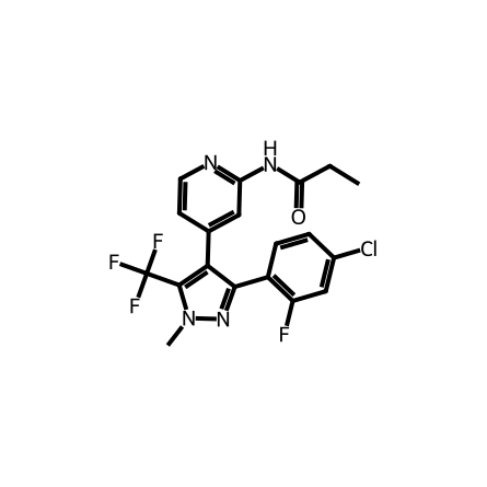 CCC(=O)Nc1cc(-c2c(-c3ccc(Cl)cc3F)nn(C)c2C(F)(F)F)ccn1